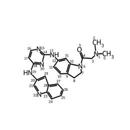 CN(C)CC(=O)N1CCc2ccc(Nc3nccc(Nc4cnc5ccccc5c4)n3)cc21